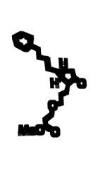 COC(=O)CCOCCC[C@@H]1C(=O)C[C@H]2C(C=CCCc3ccccc3)[C@@H]12